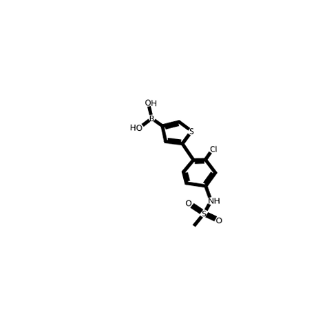 CS(=O)(=O)Nc1ccc(-c2cc(B(O)O)cs2)c(Cl)c1